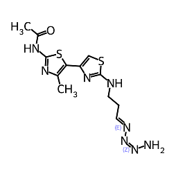 CC(=O)Nc1nc(C)c(-c2csc(NCC/C=N/N=N\N)n2)s1